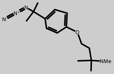 CNC(C)(C)CCOc1ccc(C(C)(C)N=[N+]=[N-])cc1